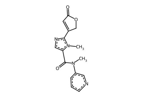 CN(C(=O)c1cnc(C2=CC(=O)OC2)n1C)c1cccnc1